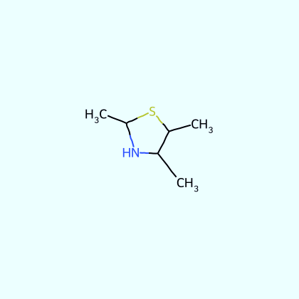 CC1NC(C)C(C)S1